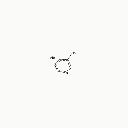 Br.Oc1cncnc1